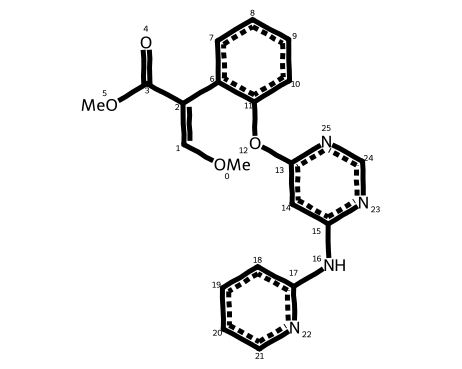 CO/C=C(/C(=O)OC)c1ccccc1Oc1cc(Nc2ccccn2)ncn1